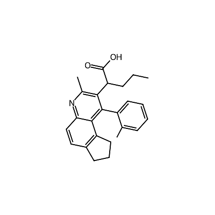 CCCC(C(=O)O)c1c(C)nc2ccc3c(c2c1-c1ccccc1C)CCC3